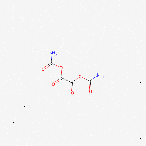 NC(=O)OC(=O)C(=O)OC(N)=O